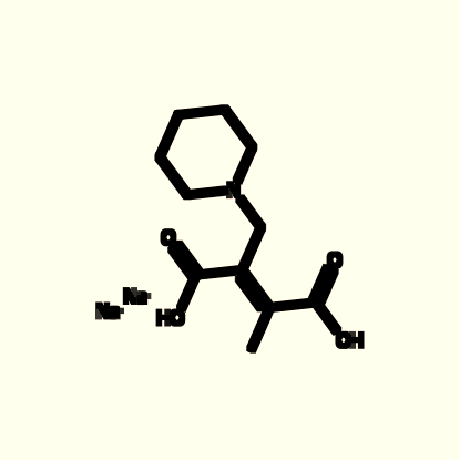 CC(C(=O)O)=C(CN1CCCCC1)C(=O)O.[Na].[Na]